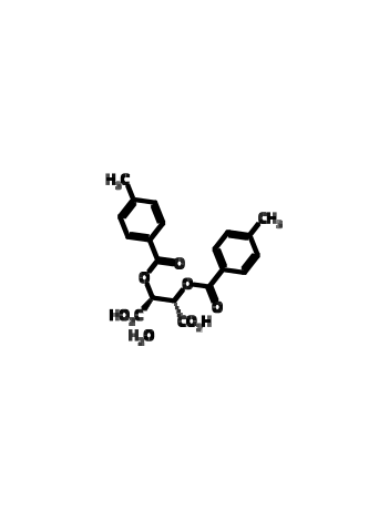 Cc1ccc(C(=O)O[C@H](C(=O)O)[C@H](OC(=O)c2ccc(C)cc2)C(=O)O)cc1.O